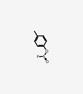 Cc1ccc(OS(=O)F)cc1